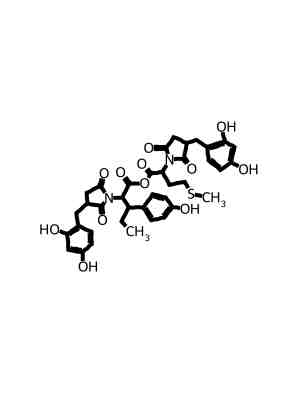 CCC(c1ccc(O)cc1)C(C(=O)OC(=O)C(CCSC)N1C(=O)CC(Cc2ccc(O)cc2O)C1=O)N1C(=O)CC(Cc2ccc(O)cc2O)C1=O